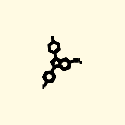 CN1CC=C(c2cn(-c3ccc(F)cc3)c3ccc(N)cc23)CC1